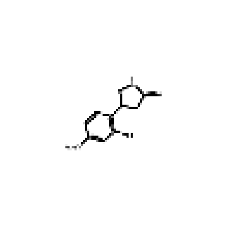 COc1ccc(C2CNC(=O)C2)c(Cl)c1